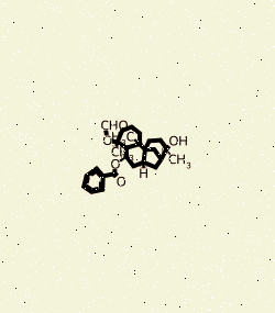 C[C@@]1(OC=O)CCC[C@@]2(C)C1[C@H](OC(=O)c1ccccc1)C[C@H]1CC3CC12CC[C@@]3(C)O